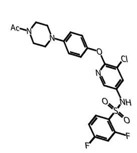 CC(=O)N1CCN(c2ccc(Oc3ncc(NS(=O)(=O)c4ccc(F)cc4F)cc3Cl)cc2)CC1